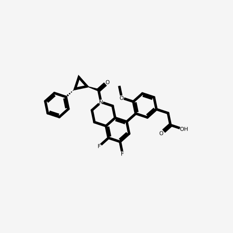 COc1ccc(CC(=O)O)cc1-c1cc(F)c(F)c2c1CN(C(=O)[C@@H]1C[C@H]1c1ccccc1)CC2